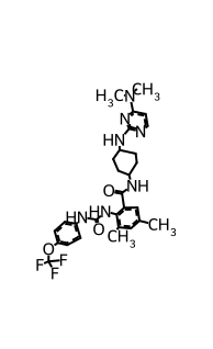 Cc1cc(C)c(NC(=O)Nc2ccc(OC(F)(F)F)cc2)c(C(=O)NC2CCC(Nc3nccc(N(C)C)n3)CC2)c1